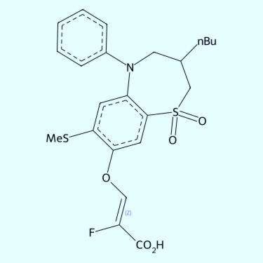 CCCCC1CN(c2ccccc2)c2cc(SC)c(O/C=C(\F)C(=O)O)cc2S(=O)(=O)C1